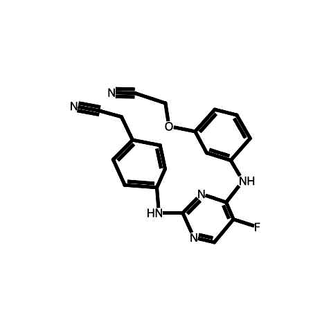 N#CCOc1cccc(Nc2nc(Nc3ccc(CC#N)cc3)ncc2F)c1